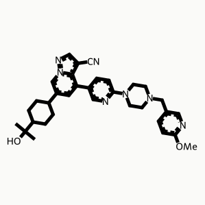 COc1ccc(CN2CCN(c3ccc(-c4cc(C5CCC(C(C)(C)O)CC5)cn5ncc(C#N)c45)cn3)CC2)cn1